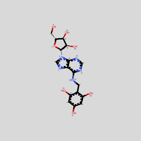 OC[C@H]1O[C@@H](n2cnc3c(NCc4c(O)cc(O)cc4O)ncnc32)[C@H](O)[C@@H]1O